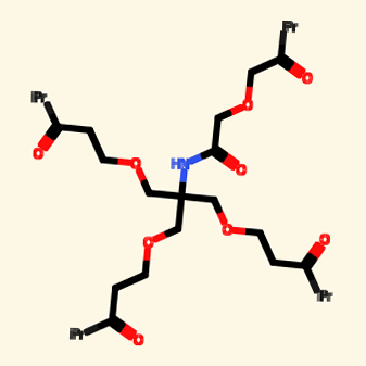 CC(C)C(=O)CCOCC(COCCC(=O)C(C)C)(COCCC(=O)C(C)C)NC(=O)COCC(=O)C(C)C